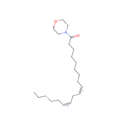 CCCCC/C=C\C/C=C\CCCCCCCC(=O)N1CCOCC1